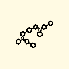 C1=CC=C(N(c2ccc(-c3ccccc3)cc2)c2cccc(-c3ccc(-c4cccc(N(c5ccccc5)c5ccc(-c6ccccc6)cc5)c4)cc3)c2)CC=1